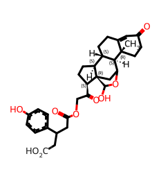 C[C@]12CCC(=O)C=C1CC[C@H]1[C@@H]3CC[C@H](C(=O)COC(=O)CC(CC(=O)O)c4ccc(O)cc4)[C@@]34CC(OC4O)[C@@H]12